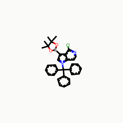 CC1(C)OB(c2cn(C(c3ccccc3)(c3ccccc3)c3ccccc3)c3ccnc(Cl)c23)OC1(C)C